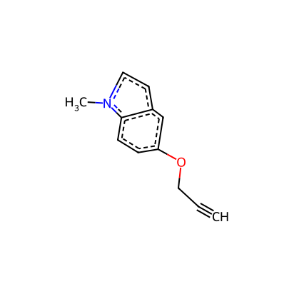 C#CCOc1ccc2c(ccn2C)c1